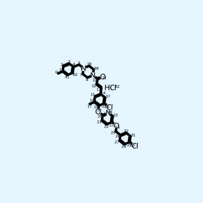 Cc1ccc(CN2CCN(C(=O)/C=C/c3cc(C)c(Oc4ccc(OCc5ccc(Cl)cc5)cn4)c(Cl)c3)CC2)cc1.Cl